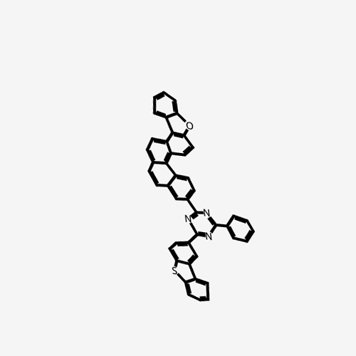 c1ccc(-c2nc(-c3ccc4c(ccc5ccc6c(ccc7oc8ccccc8c76)c54)c3)nc(-c3ccc4sc5ccccc5c4c3)n2)cc1